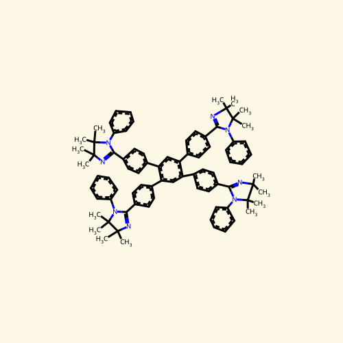 CC1(C)N=C(c2ccc(-c3cc(-c4ccc(C5=NC(C)(C)C(C)(C)N5c5ccccc5)cc4)c(-c4ccc(C5=NC(C)(C)C(C)(C)N5c5ccccc5)cc4)cc3-c3ccc(C4=NC(C)(C)C(C)(C)N4c4ccccc4)cc3)cc2)N(c2ccccc2)C1(C)C